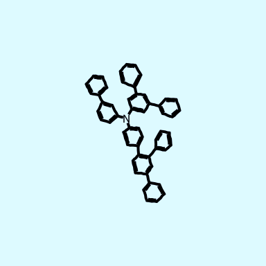 c1ccc(-c2cccc(N(c3ccc(-c4ccc(-c5ccccc5)cc4-c4ccccc4)cc3)c3cc(-c4ccccc4)cc(-c4ccccc4)c3)c2)cc1